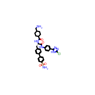 NCC1CCC(C(=O)N[C@@H](Cc2ccc(-c3ccc(S(N)(=O)=O)cc3)cc2)C(=O)Nc2ccc(-c3nnc(Cl)[nH]3)cc2)CC1